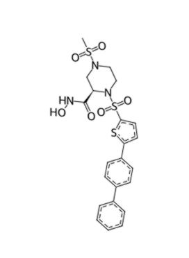 CS(=O)(=O)N1CCN(S(=O)(=O)c2ccc(-c3ccc(-c4ccccc4)cc3)s2)[C@@H](C(=O)NO)C1